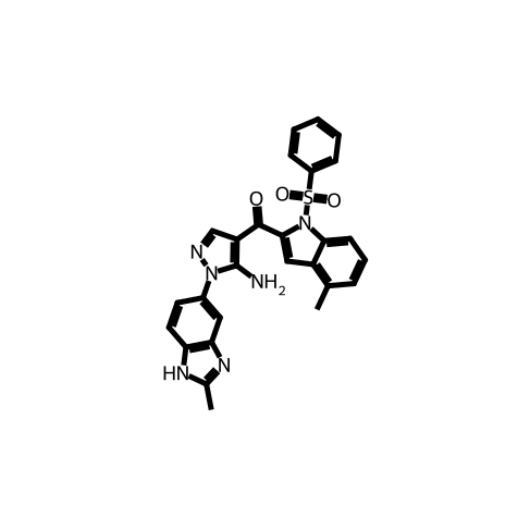 Cc1nc2cc(-n3ncc(C(=O)c4cc5c(C)cccc5n4S(=O)(=O)c4ccccc4)c3N)ccc2[nH]1